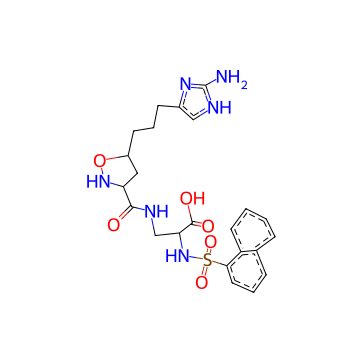 Nc1nc(CCCC2CC(C(=O)NCC(NS(=O)(=O)c3cccc4ccccc34)C(=O)O)NO2)c[nH]1